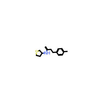 C=C(CCc1ccc(C)cc1)NC1CCSC1